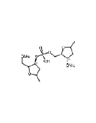 COCC1OC(C)C[C@@H]1SP(=O)(O)OCC1OC(C)C[C@@H]1OC